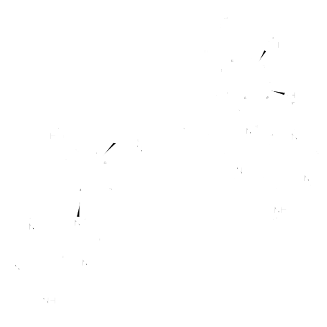 Nc1ncnc2c1ncn2[C@H]1C[C@H](O)[C@@H](CNCC#Cc2nc3c(N)ncnc3n2[C@@H]2O[C@H](CO)[C@@H](O)[C@H]2O)O1